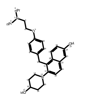 CCCN(CCC)CCOc1ccc(Cc2c(N3CCC(O)CC3)ccc3cc(O)ccc23)cc1